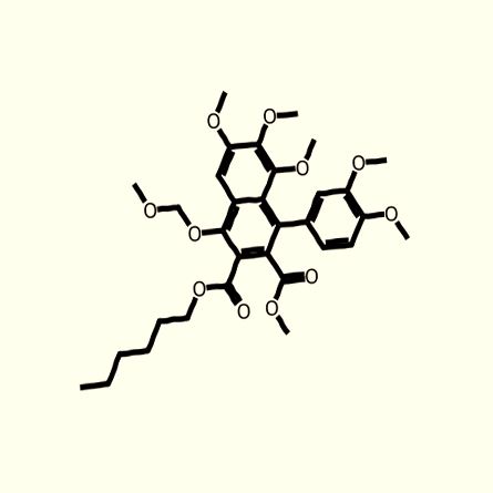 CCCCCCOC(=O)c1c(C(=O)OC)c(-c2ccc(OC)c(OC)c2)c2c(OC)c(OC)c(OC)cc2c1OCOC